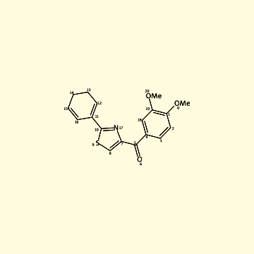 COc1ccc(C(=O)c2csc(C3=CCCC=C3)n2)cc1OC